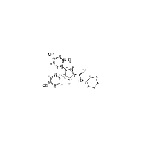 C[C@H]1C(C(=O)OC2CCCCC2)=NN(c2ccc(Cl)cc2Cl)[C@H]1c1ccc(Cl)cc1